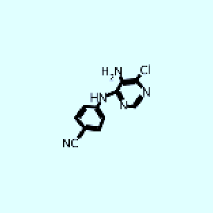 N#Cc1ccc(Nc2ncnc(Cl)c2N)cc1